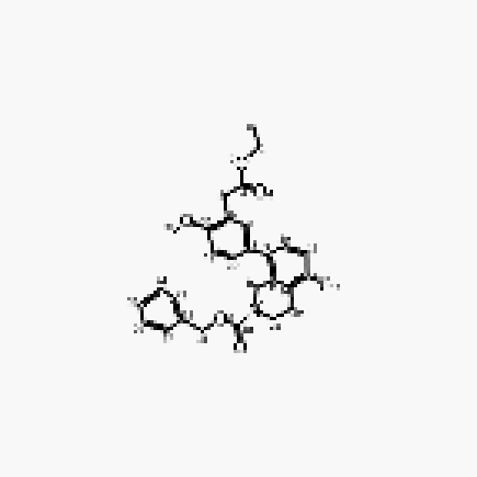 CCOC(=O)Cc1cc(-c2ccc(F)c3c2CN(C(=O)OCc2ccccc2)CC3)ccc1OC